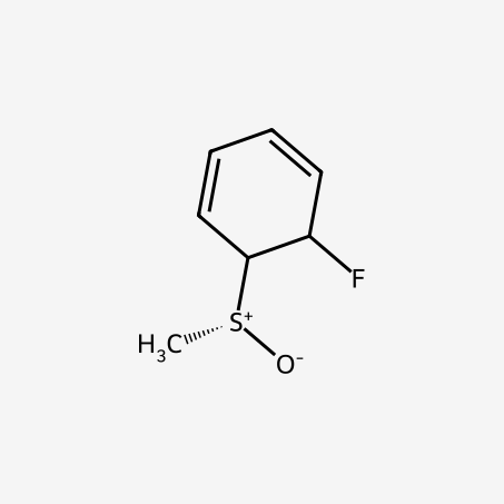 C[S@@+]([O-])C1C=CC=CC1F